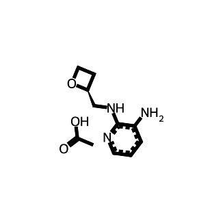 CC(=O)O.Nc1cccnc1NC[C@@H]1CCO1